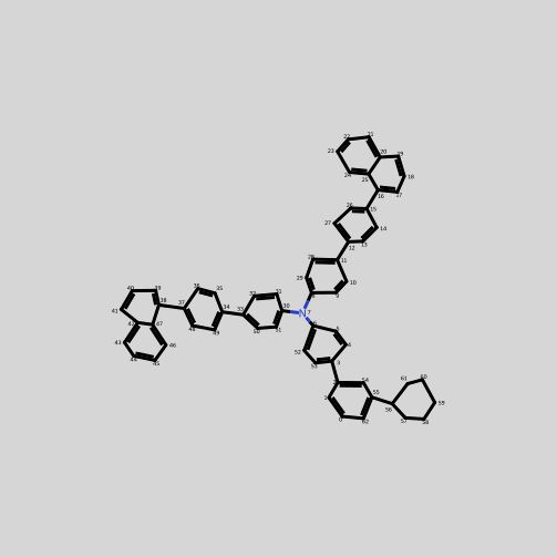 c1cc(-c2ccc(N(c3ccc(-c4ccc(-c5cccc6ccccc56)cc4)cc3)c3ccc(-c4ccc(-c5cccc6ccccc56)cc4)cc3)cc2)cc(C2CCCCC2)c1